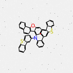 c1ccc(N(c2ccc3sc4ccccc4c3c2)c2cccc3oc4c5ccccc5ccc4c23)c(-c2ccc3c(c2)sc2ccccc23)c1